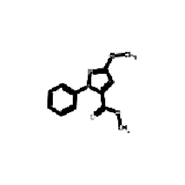 COC(=O)c1cc(OC)nn1-c1ccccc1